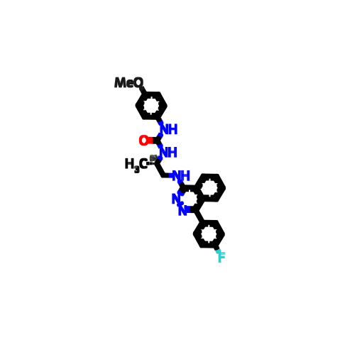 COc1ccc(NC(=O)N[C@@H](C)CNc2nnc(-c3ccc(F)cc3)c3ccccc23)cc1